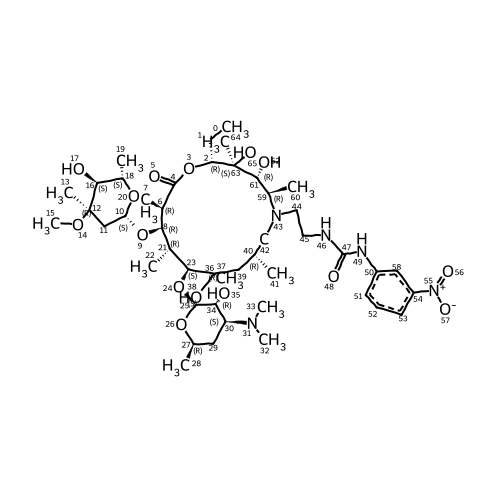 CC[C@H]1OC(=O)[C@H](C)[C@H](O[C@@H]2C[C@@](C)(OC)[C@@H](O)[C@H](C)O2)[C@@H](C)[C@H](O[C@@H]2O[C@H](C)C[C@H](N(C)C)[C@H]2O)[C@](C)(O)C[C@@H](C)CN(CCNC(=O)Nc2cccc([N+](=O)[O-])c2)[C@H](C)[C@@H](O)[C@]1(C)O